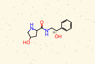 O=C(NC[C@@H](O)c1ccccc1)C1CC(O)CN1